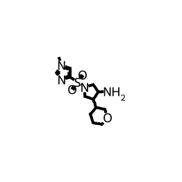 Cn1cnc(S(=O)(=O)N2CC(N)C(C3CCCOC3)C2)c1